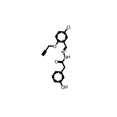 C#CCOc1ccc(Cl)cc1/C=N/NC(=O)Cc1cccc(O)c1